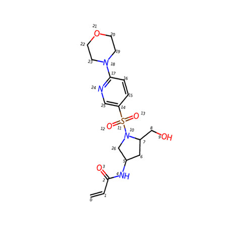 C=CC(=O)NC1CC(CO)N(S(=O)(=O)c2ccc(N3CCOCC3)nc2)C1